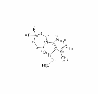 COC(=O)c1c(N2CCCC(F)(F)CC2)ncc(I)c1C